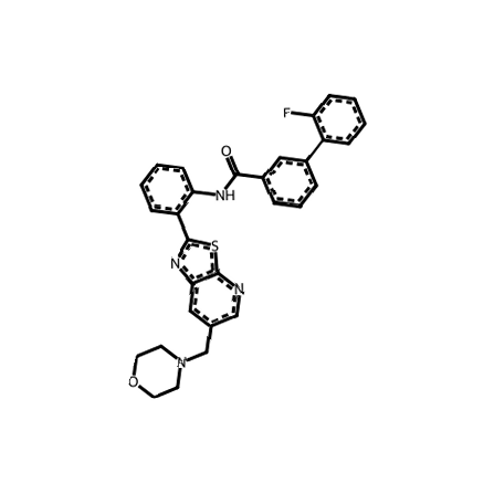 O=C(Nc1ccccc1-c1nc2cc(CN3CCOCC3)cnc2s1)c1cccc(-c2ccccc2F)c1